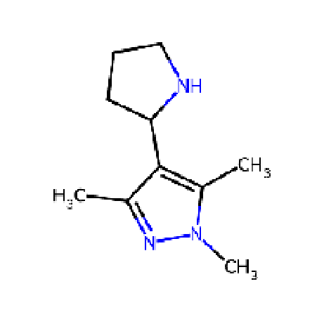 Cc1nn(C)c(C)c1C1CCCN1